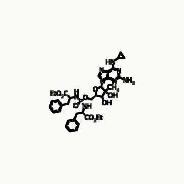 CCOC(=O)[C@H](Cc1ccccc1)NP(=O)(N[C@@H](Cc1ccccc1)C(=O)OCC)OC[C@H]1O[C@@H](n2cnc3c(NC4CC4)nc(N)nc32)C(C)(O)C1O